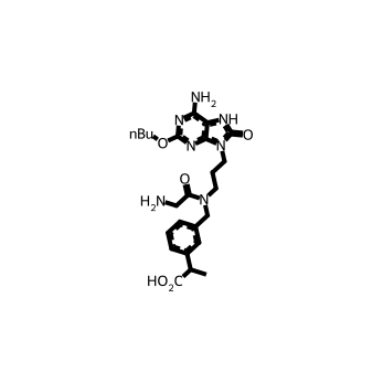 CCCCOc1nc(N)c2[nH]c(=O)n(CCCN(Cc3cccc(C(C)C(=O)O)c3)C(=O)CN)c2n1